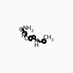 Cc1cccc(CCNC2CCc3cc(Oc4ccc(C(N)=O)cn4)ccc32)c1